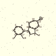 Cc1cccc(C2=CC(C)c3cc(Br)ccc32)c1C